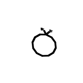 BrC1(Br)CCCCCCCCCCC1